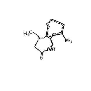 CN1CC(=O)Nc2c(N)cccc21